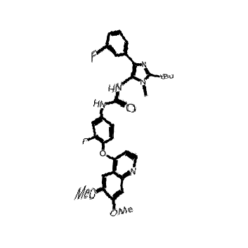 COc1cc2nccc(Oc3ccc(NC(=O)Nc4c(-c5cccc(F)c5)nc(C(C)(C)C)n4C)cc3F)c2cc1OC